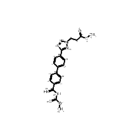 COC(=O)CCn1nnc(-c2ccc(-c3ccc(C(=N)NC(=O)OC)cc3)cc2)n1